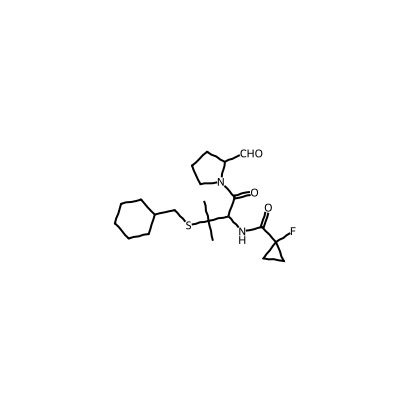 CC(C)(SCC1CCCCC1)C(NC(=O)C1(F)CC1)C(=O)N1CCCC1C=O